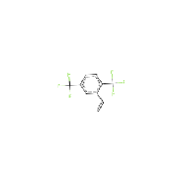 C=Cc1cc(C(F)(F)F)ccc1C(F)(F)F